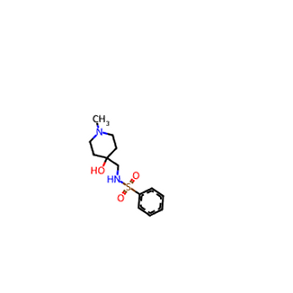 CN1CCC(O)(CNS(=O)(=O)c2ccccc2)CC1